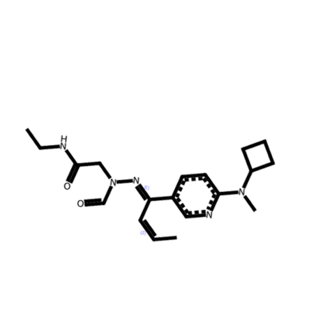 C/C=C\C(=N/N(C=O)CC(=O)NCC)c1ccc(N(C)C2CCC2)nc1